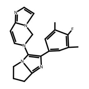 Cc1cc(-c2nc3n(c2N2C=Cc4nccn4C2)CCC3)cc(C)c1F